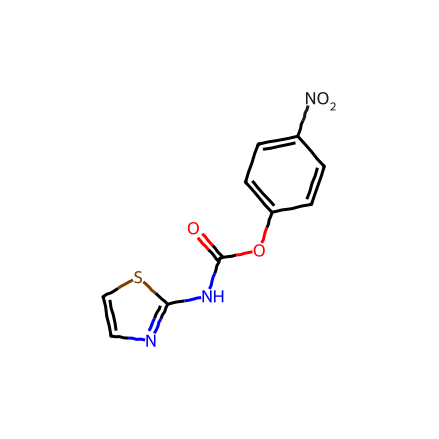 O=C(Nc1nccs1)Oc1ccc([N+](=O)[O-])cc1